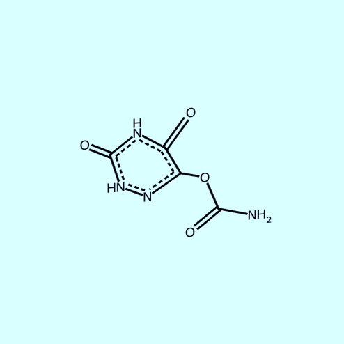 NC(=O)Oc1n[nH]c(=O)[nH]c1=O